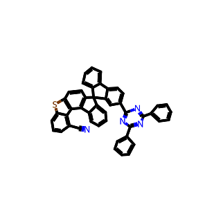 N#Cc1cccc2sc3ccc4c(c3c12)-c1ccccc1C41c2ccccc2-c2ccc(-c3nc(-c4ccccc4)nc(-c4ccccc4)n3)cc21